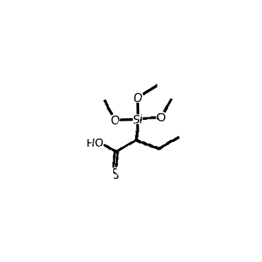 CCC(C(O)=S)[Si](OC)(OC)OC